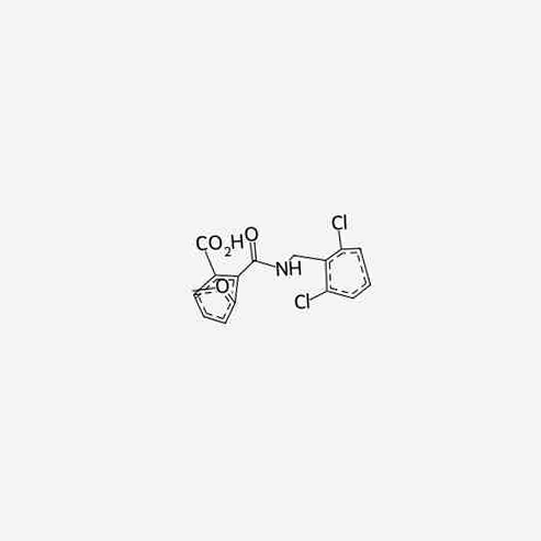 O=C(O)c1c(C(=O)NCc2c(Cl)cccc2Cl)c2ccc1o2